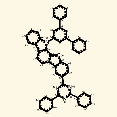 c1ccc(-c2cc(-c3ccccc3)cc(-n3c4ccccc4c4ccc5c6cc(-c7nc(-c8ccccc8)nc(-c8ccccc8)n7)ccc6oc5c43)c2)cc1